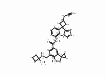 Cn1cnnc1C1(c2cccc(NC(=O)c3cc(CNC4(C)CCC4)c4c(n3)C3(CC3)CN4)c2)CC(CC#N)C1